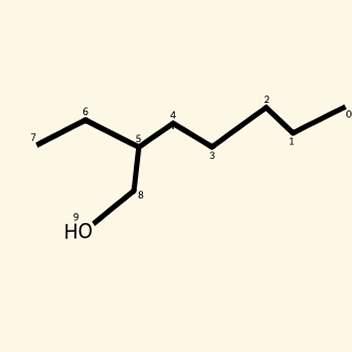 CCCC[CH]C(CC)CO